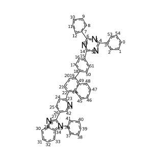 c1ccc(-c2nc(-c3ccccc3)nc(-c3ccc(-c4ccc(-c5ccc(-c6nc7ccccc7n6-c6ccccc6)cn5)c5ccccc45)cc3)n2)cc1